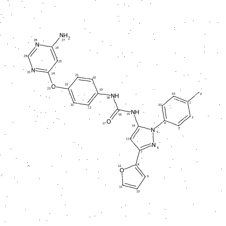 Cc1ccc(-n2nc(-c3ccco3)cc2NC(=O)Nc2ccc(Oc3cc(N)ncn3)cc2)cc1